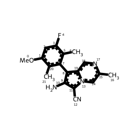 COc1cc(F)c(C)c(-c2c(N)c(C#N)n3cc(C)ncc23)c1C